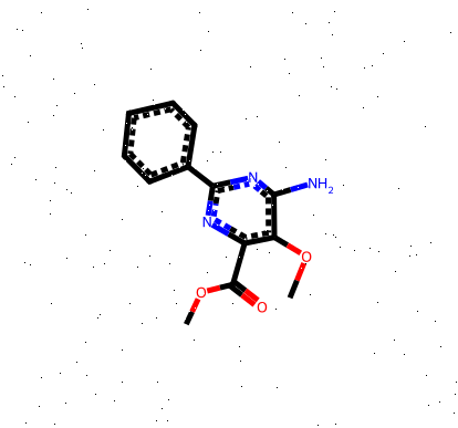 COC(=O)c1nc(-c2ccccc2)nc(N)c1OC